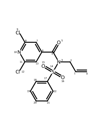 C=CCN(C(=O)c1cc(Cl)nc(Cl)c1)S(=O)(=O)c1ccccc1